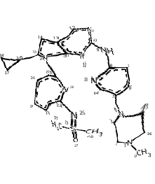 CN1CCN(c2ccc(Nc3ncc4cc(C5CC5)n(-c5cccc(N=S(C)(C)=O)n5)c4n3)nc2)CC1